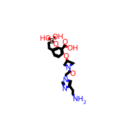 NCCc1cn(CC(=O)N2CC(Oc3ccc4c(c3C(=O)O)O[B-](O)(O)CC4)C2)cn1